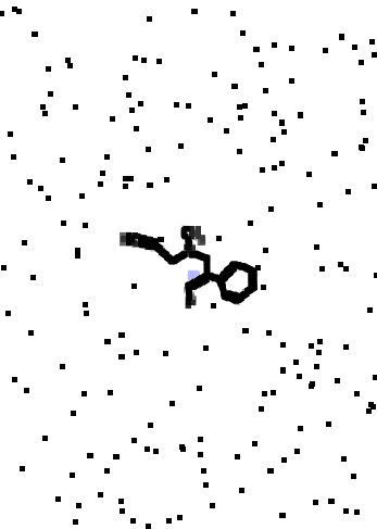 C#CCN(C)C/C(=C/F)c1ccccc1